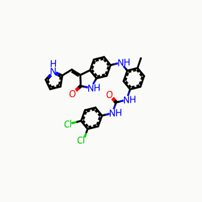 Cc1ccc(NC(=O)Nc2ccc(Cl)c(Cl)c2)cc1Nc1ccc2c(c1)NC(=O)/C2=C\c1ccc[nH]1